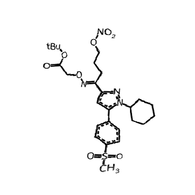 CC(C)(C)OC(=O)CON=C(CCCO[N+](=O)[O-])c1cc(-c2ccc(S(C)(=O)=O)cc2)n(C2CCCCC2)n1